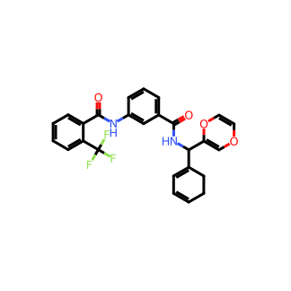 O=C(NC(C1=CC=CCC1)C1=COC=CO1)c1cccc(NC(=O)c2ccccc2C(F)(F)F)c1